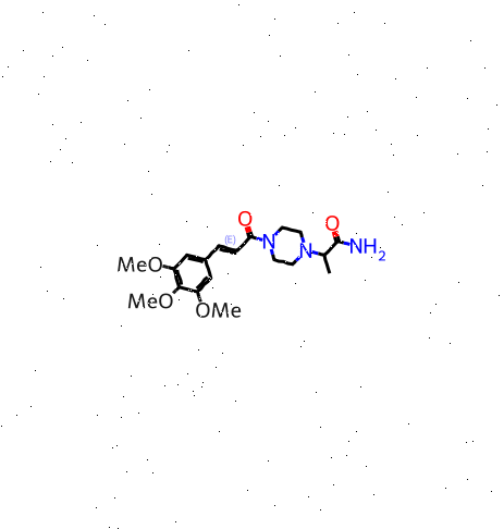 COc1cc(/C=C/C(=O)N2CCN(C(C)C(N)=O)CC2)cc(OC)c1OC